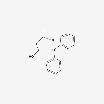 CC(O)CCO.c1ccc(Oc2ccccc2)cc1